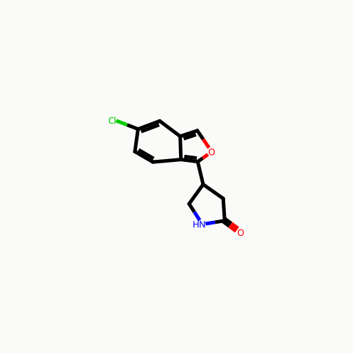 O=C1CC(c2occ3cc(Cl)ccc23)CN1